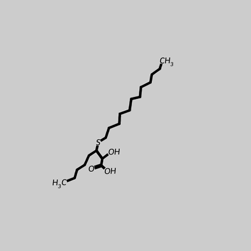 CCCCCCCCCCCCSC(CCCCC)C(O)C(=O)O